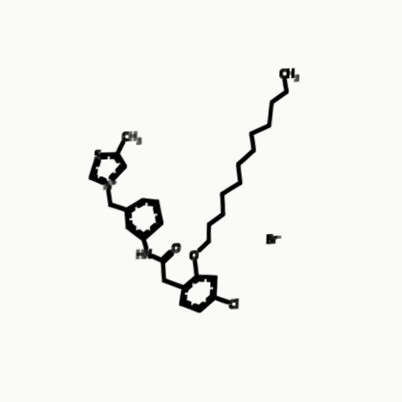 CCCCCCCCCCCCOc1cc(Cl)ccc1CC(=O)Nc1cccc(C[n+]2csc(C)c2)c1.[Br-]